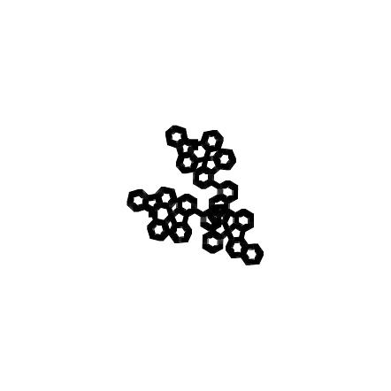 c1ccc2c(c1)-c1ccccc1C21c2ccc3ccccc3c2-c2cccc(-c3c4cccc(-c5cccc6c5-c5ccccc5C65c6ccccc6-n6c7ccccc7c7cccc5c76)c4cc4c(-c5cccc6c5-c5ccccc5C65c6ccccc6-n6c7ccccc7c7cccc5c76)cccc34)c21